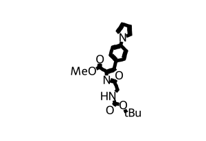 COC(=O)c1nc(CNC(=O)OC(C)(C)C)oc1-c1ccc(-n2cccc2)cc1